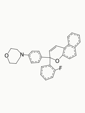 Fc1ccccc1C1(c2ccc(N3CCOCC3)cc2)C=Cc2c(ccc3ccccc23)O1